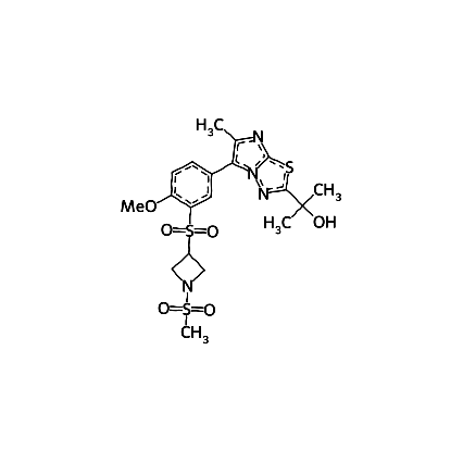 COc1ccc(-c2c(C)nc3sc(C(C)(C)O)nn23)cc1S(=O)(=O)C1CN(S(C)(=O)=O)C1